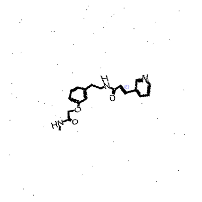 CNC(=O)COc1cccc(CCNC(=O)/C=C/c2cccnc2)c1